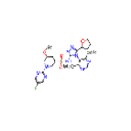 COc1ncnc(OC)c1-n1c(NS(=O)(=O)[C@@H]2C[C@H](OC(C)C)CN(c3ncc(F)cn3)C2)nnc1C1CCCO1